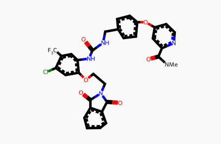 CNC(=O)c1cc(Oc2ccc(CNC(=O)Nc3cc(C(F)(F)F)c(Cl)cc3OCCN3C(=O)c4ccccc4C3=O)cc2)ccn1